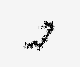 CCCCOC(=O)NC(C)(C)c1cccc(C(C)(C)NC(=O)OCCOC(F)(F)C(F)(F)OCCOC(=O)NC(C)(C)c2cccc(C(C)(C)NC(=O)OCCCC)c2)c1